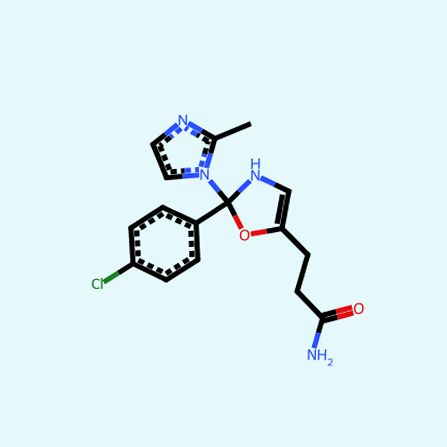 Cc1nccn1C1(c2ccc(Cl)cc2)NC=C(CCC(N)=O)O1